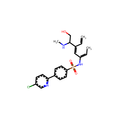 C=C/C(=C\C(=C/C)NS(=O)(=O)c1ccc(-c2ccc(Cl)cn2)cc1)C(CO)NC